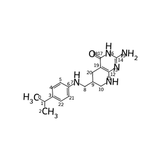 CC(C)c1ccc(NCC2CNc3nc(N)[nH]c(=O)c3C2)cc1